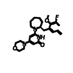 C=C/C=C(C[C@@H]1CCCCCN1c1cc(N2CCOCC2)cc(=O)[nH]1)\C(OC)=C(/C)F